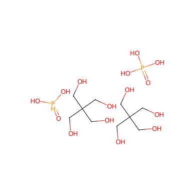 O=P(O)(O)O.O=[PH](O)O.OCC(CO)(CO)CO.OCC(CO)(CO)CO